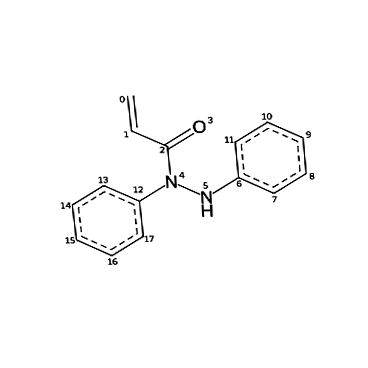 C=CC(=O)N(Nc1ccccc1)c1ccccc1